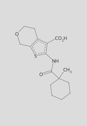 CC1(C(=O)Nc2sc3c(c2C(=O)O)CCOC3)CCCCC1